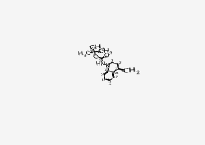 C=C1CCN(NC(=O)OC(C)(C)C)c2ccccc21